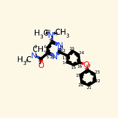 CN(C)C(=O)c1cc(N(C)C)nc(-c2ccc(Oc3ccccc3)cc2)n1